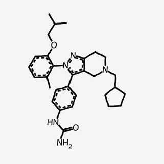 Cc1cccc(OCC(C)C)c1-n1nc2c(c1-c1ccc(NC(N)=O)cc1)CN(CC1CCCC1)CC2